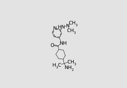 CN(C)Nc1cc(NC(=O)C2CCC(C(C)(C)N)CC2)ccn1